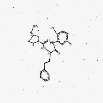 NC[C@@H]1CN[C@H](C(=O)N[C@H](CCc2ccccc2)C(=O)Nc2cc(F)ccc2O)C1